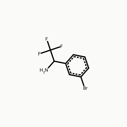 NC(c1cccc(Br)c1)C(F)(F)F